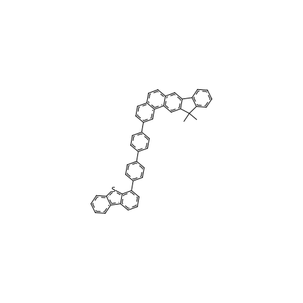 CC1(C)c2ccccc2-c2cc3ccc4ccc(-c5ccc(-c6ccc(-c7cccc8c7sc7ccccc78)cc6)cc5)cc4c3cc21